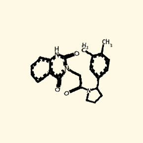 Cc1ccc(C2CCCN2C(=O)Cn2c(=O)[nH]c3ccccc3c2=O)cc1C